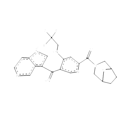 N=C(c1cnc(C(=O)N2CC3CCC(C2)O3)cc1NCC(F)(F)F)c1c[nH]c2ccncc12